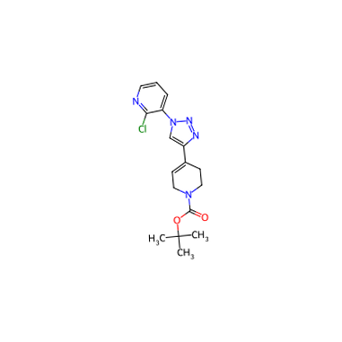 CC(C)(C)OC(=O)N1CC=C(c2cn(-c3cccnc3Cl)nn2)CC1